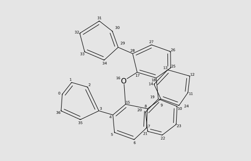 c1ccc(-c2cccc(-c3ccccc3)c2Oc2c(-c3ccccc3)cccc2-c2ccccc2)cc1